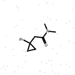 CC(C)C1(CC(=O)N(C)C)CC1